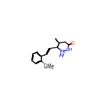 COc1ccccc1/C=C/C1NNC(=O)CC1C